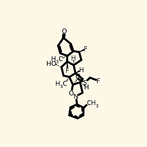 Cc1ccccc1N1C[C@@H]2C[C@H]3[C@@H]4C[C@H](F)C5=CC(=O)C=C[C@]5(C)[C@@]4(F)[C@@H](O)C[C@]3(C)[C@]2(C(=O)SCF)O1